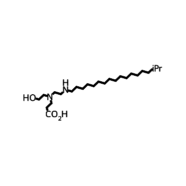 CC(C)CCCCCCCCCCCCCCCNCCN(CCO)CCC(=O)O